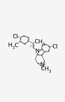 C/C(=C\n1c2c(c3cc(Cl)ccc31)C1CCC(C2)N1C)c1ccc(Cl)c(C)c1